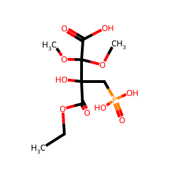 CCOC(=O)C(O)(CP(=O)(O)O)C(OC)(OC)C(=O)O